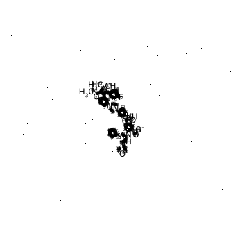 CNC(=O)c1c(-c2cccc(N3CCN(c4ccc(NS(=O)(=O)c5ccc(NC(CCN6CCOCC6)CSc6ccccc6)c([N+](=O)[O-])c5)cc4)CC3)c2)c(-c2ccc(F)cc2)n(C)c1C